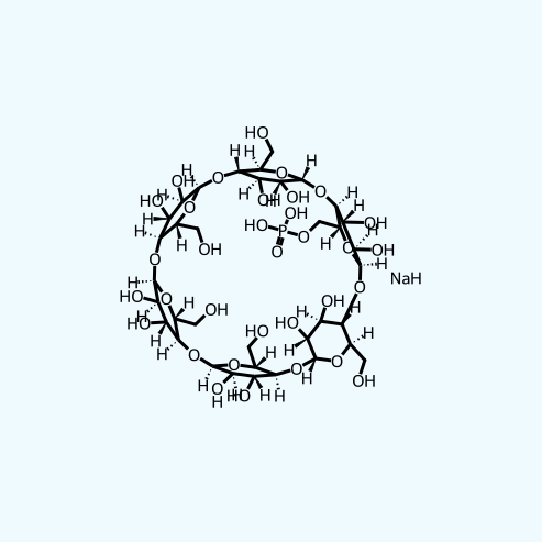 O=P(O)(O)OC[C@H]1O[C@@H]2O[C@H]3[C@H](O)[C@@H](O)[C@@H](O[C@H]4[C@H](O)[C@@H](O)[C@@H](O[C@H]5[C@H](O)[C@@H](O)[C@@H](O[C@H]6[C@H](O)[C@@H](O)[C@@H](O[C@H]7[C@H](O)[C@@H](O)[C@@H](O[C@H]1[C@H](O)[C@H]2O)O[C@@H]7CO)O[C@@H]6CO)O[C@@H]5CO)O[C@@H]4CO)O[C@@H]3CO.[NaH]